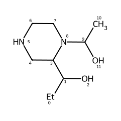 CCC(O)C1CNCCN1C(C)O